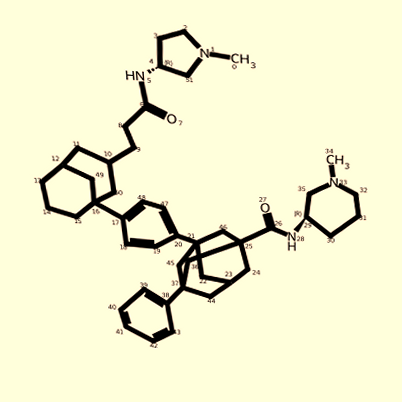 CN1CC[C@@H](NC(=O)CCC2CC3CCCC(c4ccc(C56CC7CC(C(=O)N[C@@H]8CCCN(C)C8)(CC(c8ccccc8)(C7)C5)C6)cc4)(C3)C2)C1